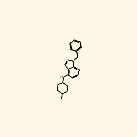 CC1CCC(Nc2ccnc3c2cnn3Cc2ccccc2)CC1